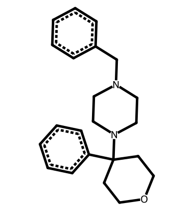 c1ccc(CN2CCN(C3(c4ccccc4)CCOCC3)CC2)cc1